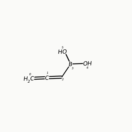 C=C=CB(O)O